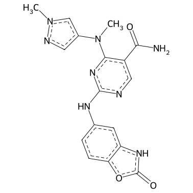 CN(c1cnn(C)c1)c1nc(Nc2ccc3oc(=O)[nH]c3c2)ncc1C(N)=O